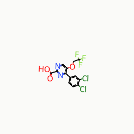 O=C(O)c1ncc(OCC(F)(F)F)c(-c2ccc(Cl)c(Cl)c2)n1